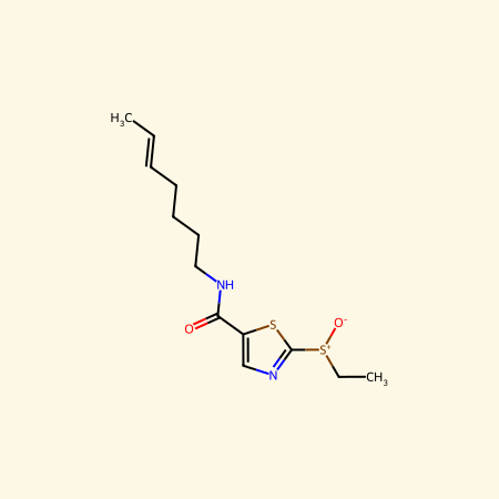 C/C=C/CCCCNC(=O)c1cnc([S+]([O-])CC)s1